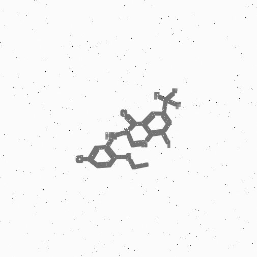 CCSc1ccc(Cl)cc1Nn1cnc2c(I)cc(C(F)(F)F)cc2c1=O